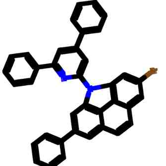 Brc1cc2ccc3cc(-c4ccccc4)cc4c3c2c(c1)n4-c1cc(-c2ccccc2)cc(-c2ccccc2)n1